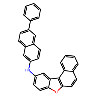 c1ccc(-c2ccc3cc(Nc4ccc5oc6ccc7ccccc7c6c5c4)ccc3c2)cc1